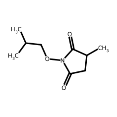 CC(C)CON1C(=O)CC(C)C1=O